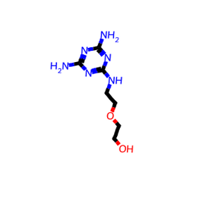 Nc1nc(N)nc(NCCOCCO)n1